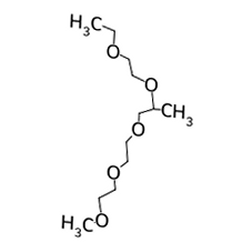 CCOCCOC(C)COCCOCCOC